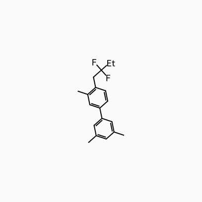 CCC(F)(F)Cc1ccc(-c2cc(C)cc(C)c2)cc1C